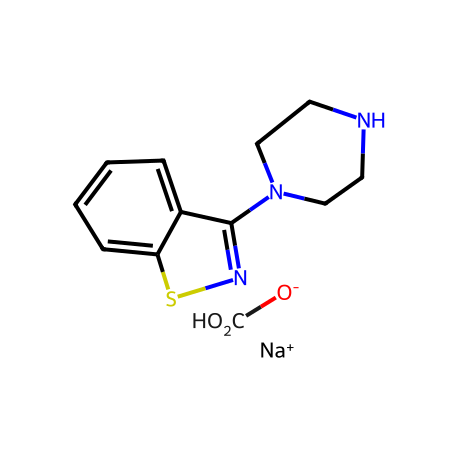 O=C([O-])O.[Na+].c1ccc2c(N3CCNCC3)nsc2c1